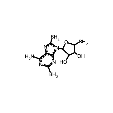 Bc1nc(N)c2nc(B)n(C3OC(B)C(O)C3O)c2n1